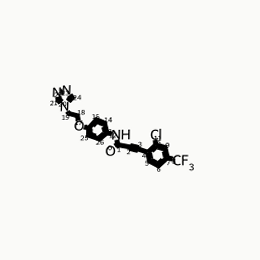 O=C(C#Cc1ccc(C(F)(F)F)cc1Cl)Nc1ccc(OCCn2cnnc2)cc1